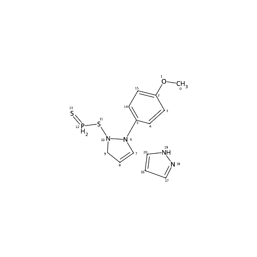 COc1ccc(N2C=CCN2S[PH2]=S)cc1.c1cn[nH]c1